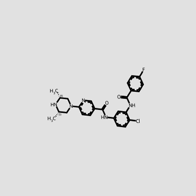 C[C@@H]1CN(c2ccc(C(=O)Nc3ccc(Cl)c(NC(=O)c4ccc(F)cc4)c3)cn2)C[C@H](C)N1